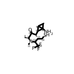 C[C@@H](C(=O)CC1C2CC12N)N(C)C(CCS)C(F)(F)F